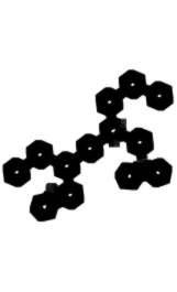 c1ccc(-c2cccc(-c3cccc(-c4cc(-c5ccc(-c6cc(-c7cccc(-c8ccccc8)c7)cc(-c7cccc8c7oc7ccccc78)c6)cc5)nc(-c5cccc(-n6c7ccccc7c7ccccc76)c5)n4)c3)c2)cc1